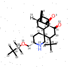 C=C1C(=O)[C@]23CC[C@H]1CC2[C@]1(CC[C@@H](CO[Si](C)(C)C(C)(C)C)NC1)C(C(C)(C)C)CC3=O